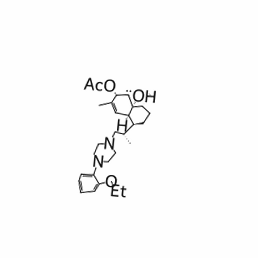 CCOc1ccccc1N1CCN(C[C@@H](C)[C@@H]2CC[C@@H](C)[C@]3(O)[C][C@@H](OC(C)=O)C(C)=C[C@H]23)CC1